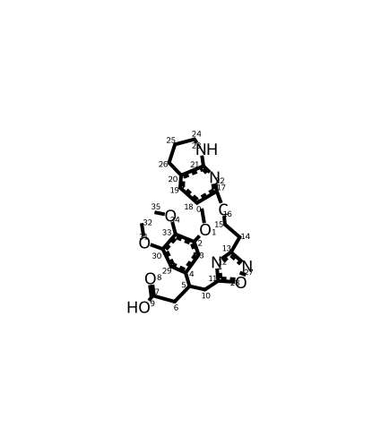 COc1cc(C(CC(=O)O)Cc2nc(CCCc3ccc4c(n3)NCCC4)no2)cc(OC)c1OC